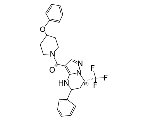 O=C(c1cnn2c1NC(c1ccccc1)C[C@H]2C(F)(F)F)N1CCC(Oc2ccccc2)CC1